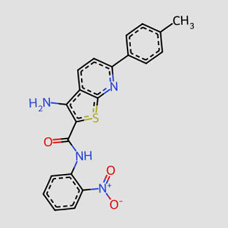 Cc1ccc(-c2ccc3c(N)c(C(=O)Nc4ccccc4[N+](=O)[O-])sc3n2)cc1